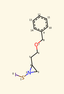 ISN1CC1CCOCc1ccccc1